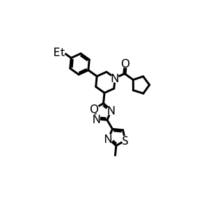 CCc1ccc(C2CC(c3nc(-c4csc(C)n4)no3)CN(C(=O)C3CCCC3)C2)cc1